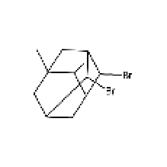 CC1C2CC3CC1(C)CC(C3Br)C2Br